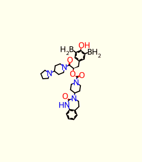 Bc1cc(C[C@@H](OC(=O)N2CCC(N3CCc4ccccc4NC3=O)CC2)C(=O)N2CCC(N3CCCC3)CC2)cc(B)c1O